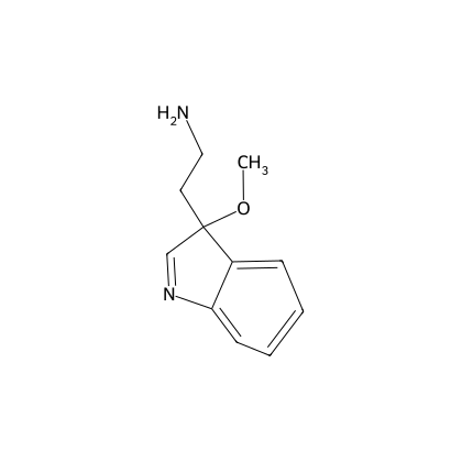 COC1(CCN)C=Nc2ccccc21